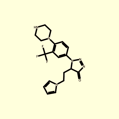 O=C1N=NN(c2ccc(N3CCNCC3)c(C(F)(F)F)c2)C1CCn1cccc1